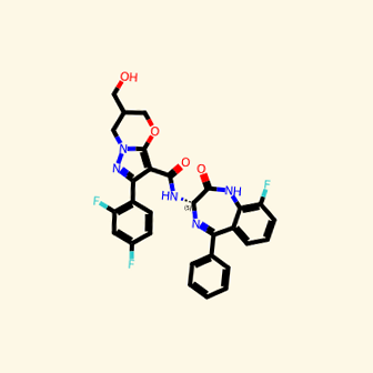 O=C(N[C@H]1N=C(c2ccccc2)c2cccc(F)c2NC1=O)c1c(-c2ccc(F)cc2F)nn2c1OCC(CO)C2